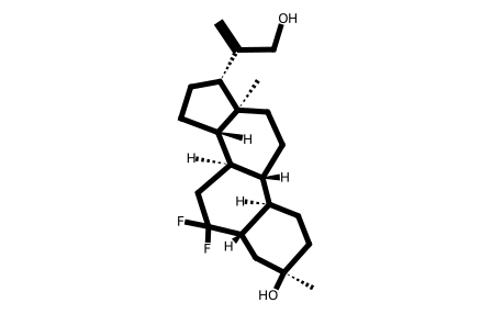 C=C(CO)[C@H]1CC[C@H]2[C@@H]3CC(F)(F)[C@H]4C[C@](C)(O)CC[C@@H]4[C@H]3CC[C@]12C